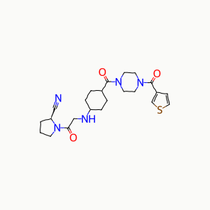 N#C[C@@H]1CCCN1C(=O)CNC1CCC(C(=O)N2CCN(C(=O)c3ccsc3)CC2)CC1